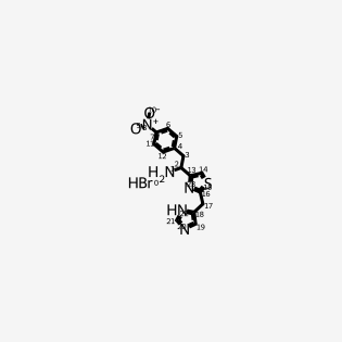 Br.NC(Cc1ccc([N+](=O)[O-])cc1)c1csc(Cc2cnc[nH]2)n1